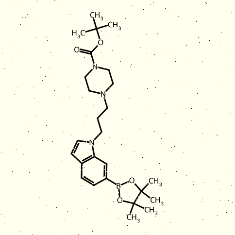 CC(C)(C)OC(=O)N1CCN(CCCn2ccc3ccc(B4OC(C)(C)C(C)(C)O4)cc32)CC1